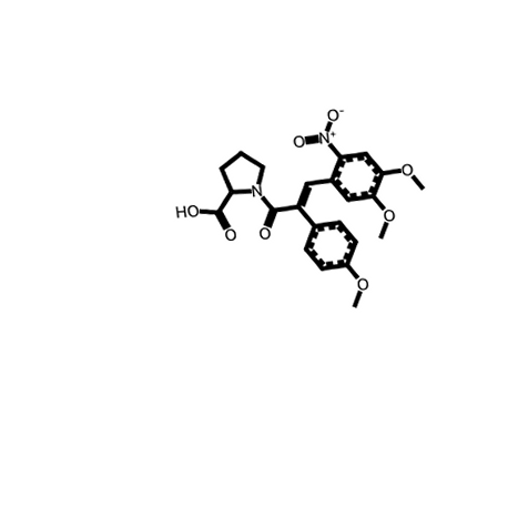 COc1ccc(C(=Cc2cc(OC)c(OC)cc2[N+](=O)[O-])C(=O)N2CCCC2C(=O)O)cc1